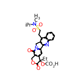 CC[C@@]1(OC(=O)O)C(=O)OCc2c1cc1n(c2=O)Cc2c-1nc1ccccc1c2CCS(=O)(=O)N(C)C(C)C